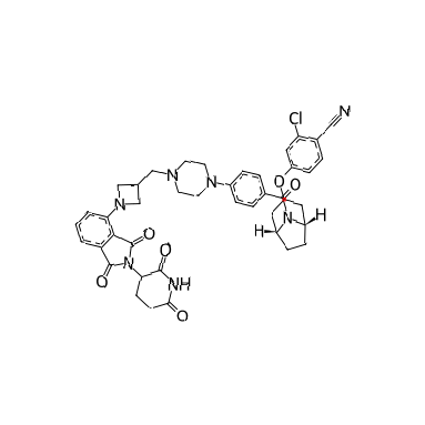 N#Cc1ccc(OC2C[C@H]3CC[C@@H](C2)N3C(=O)c2ccc(N3CCN(CC4CN(c5cccc6c5C(=O)N(C5CCC(=O)NC5=O)C6=O)C4)CC3)cc2)cc1Cl